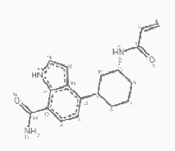 C=CC(=O)N[C@@H]1CCC[C@@H](c2ccc(C(N)=O)c3[nH]ccc23)C1